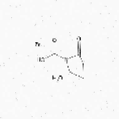 O.O=C(O)N1CCCC1=O.[Zn]